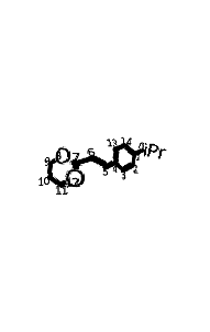 CC(C)c1ccc(C=CC2OCCCO2)cc1